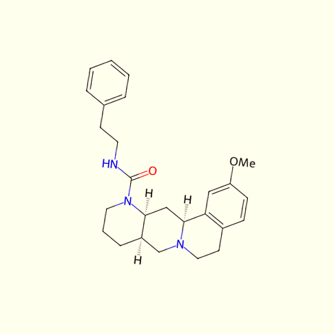 COc1ccc2c(c1)[C@@H]1C[C@H]3[C@H](CCCN3C(=O)NCCc3ccccc3)CN1CC2